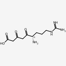 N=C(N)NCCC[C@H](N)C(=O)CC(=O)CC(=O)O